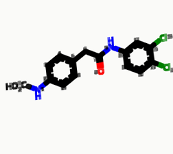 O=C(O)Nc1ccc(CC(=O)Nc2ccc(Cl)c(Cl)c2)cc1